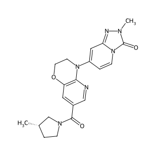 C[C@H]1CCN(C(=O)c2cnc3c(c2)OCCN3c2ccn3c(=O)n(C)nc3c2)C1